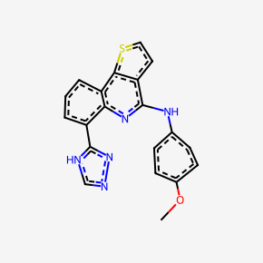 COc1ccc(Nc2nc3c(-c4nnc[nH]4)cccc3c3sccc23)cc1